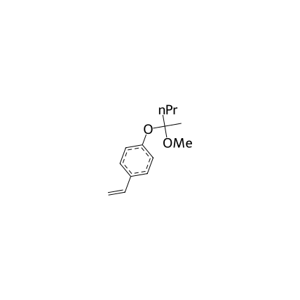 C=Cc1ccc(OC(C)(CCC)OC)cc1